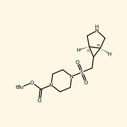 CC(C)(C)OC(=O)N1CCN(S(=O)(=O)CC2[C@H]3CNC[C@@H]23)CC1